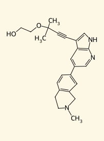 CN1CCc2ccc(-c3cnc4[nH]cc(C#CC(C)(C)OCCO)c4c3)cc2C1